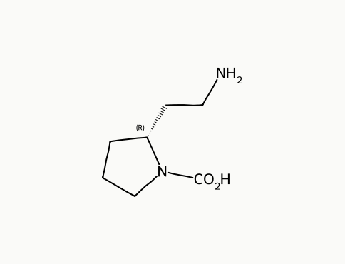 NCC[C@H]1CCCN1C(=O)O